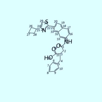 O=C(CC(Cc1ccccc1)C(=O)O)Nc1ccc2ccc(-c3nc(C4CCC4)cs3)cc2c1